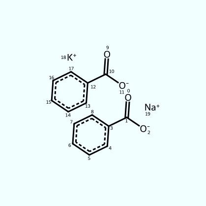 O=C([O-])c1ccccc1.O=C([O-])c1ccccc1.[K+].[Na+]